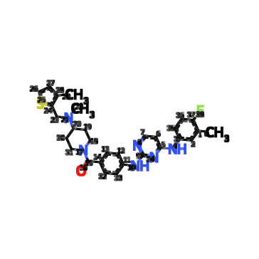 Cc1cc(Nc2ccnc(Nc3ccc(C(=O)N4CCC(N(C)Cc5sccc5C)CC4)cc3)n2)ccc1F